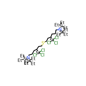 CC[Si](CC)(CC)N(CCCC(CCSCCC(CCCN([Si](CC)(CC)CC)[Si](CC)(CC)CC)[Si](Cl)(Cl)Cl)[Si](Cl)(Cl)Cl)[Si](CC)(CC)CC